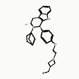 C[C@@H]1Cc2c([nH]c3ccccc23)[C@@H](c2ccc(OCCN3CC(CF)C3)cc2)N1C12CCC(C1)C2